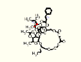 C/C=C(\C)C(=O)OC1C(OC(=O)/C=C/c2ccccc2)C2COC(=O)CCC(=O)CCCCCC[C@H](CCC)OC3OC(C)C(OC(C)=O)C(OC(C)=O)C3OC(O2)C1OC(C)=O